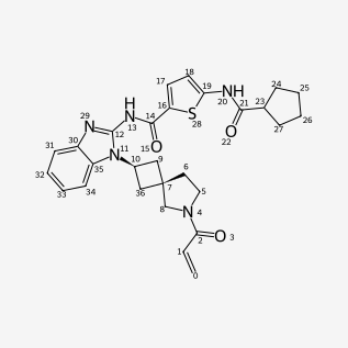 C=CC(=O)N1CC[C@]2(C1)C[C@H](n1c(NC(=O)c3ccc(NC(=O)C4CCCC4)s3)nc3ccccc31)C2